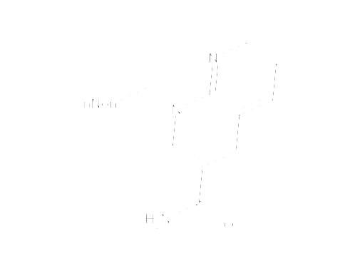 CCCCCCCCCCN1C=C(C(N)=O)Cc2cccnc21